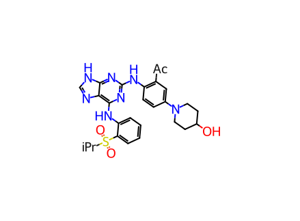 CC(=O)c1cc(N2CCC(O)CC2)ccc1Nc1nc(Nc2ccccc2S(=O)(=O)C(C)C)c2nc[nH]c2n1